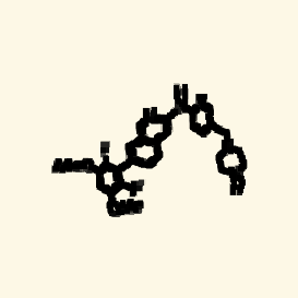 COc1cc(OC)c(F)c(-c2ccc3cc(Nc4ccc(CN5CCNCC5)cn4)ncc3c2)c1F